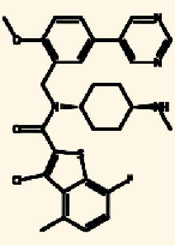 CN[C@H]1CC[C@H](N(Cc2cc(-c3cncnc3)ccc2OC)C(=O)c2sc3c(F)ccc(C)c3c2Cl)CC1